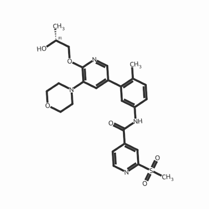 Cc1ccc(NC(=O)c2ccnc(S(C)(=O)=O)c2)cc1-c1cnc(OC[C@@H](C)O)c(N2CCOCC2)c1